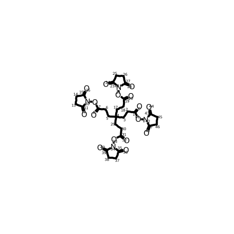 O=C(CCC(CCC(=O)ON1C(=O)CCC1=O)(CCC(=O)ON1C(=O)CCC1=O)CCC(=O)ON1C(=O)CCC1=O)ON1C(=O)CCC1=O